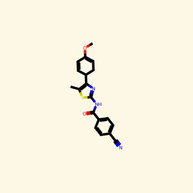 COC1=CCC(c2nc(NC(=O)c3ccc(C#N)cc3)sc2C)C=C1